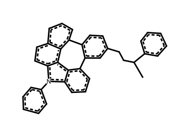 CC(CCc1ccc2c(c1)-c1cccc3c1c1c4c-2cccc4ccc1n3-c1ccccc1)c1ccccc1